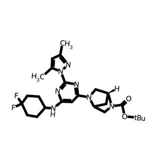 Cc1cc(C)n(-c2nc(NC3CCC(F)(F)CC3)cc(N3C[C@H]4CC3CN4C(=O)OC(C)(C)C)n2)n1